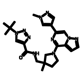 Cn1cc(-c2cn3nccc3c(N3CCC(C)(CNC(=O)c4cn(C(C)(C)C)nn4)C3)n2)cn1